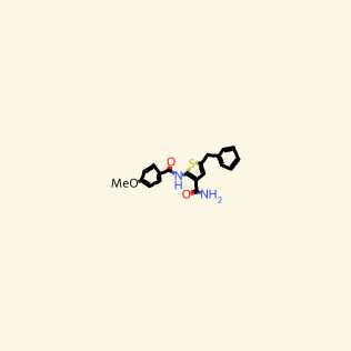 COc1ccc(C(=O)Nc2sc(Cc3ccccc3)cc2C(N)=O)cc1